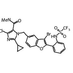 CNC(=O)c1c(Cl)nc(C2CC2)n1Cc1ccc2oc(-c3ccccc3NS(=O)(=O)C(F)(F)F)c(Br)c2c1